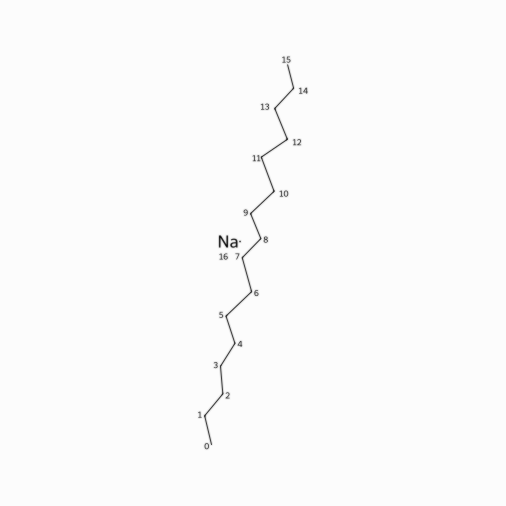 CCCCCCCCCCCCCCCC.[Na]